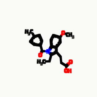 CCc1c(CCC(=O)O)c2cc(OC)ccc2n1C(=O)c1ccc(C)cc1